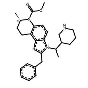 COC(=O)N1c2ccc3c(nc(Cc4ccccc4)n3C(C)C3CCCNC3)c2CC[C@@H]1C